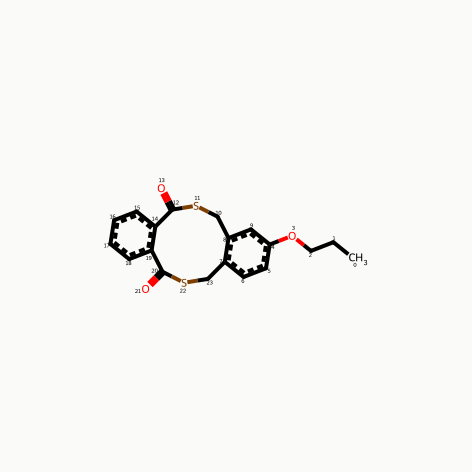 CCCOc1ccc2c(c1)CSC(=O)c1ccccc1C(=O)SC2